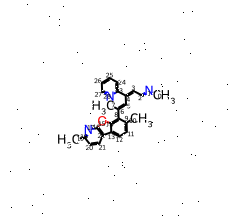 C/N=C/C=C(\C=C(/C)c1c(C)ccc2c1oc1nc(C)ccc12)c1ccccn1